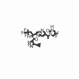 CC(c1cnn2cc(C(CC(C)(C)C(F)(F)F)NC(=O)c3nonc3C3CC3)nc2c1)N1CC(F)(F)CNC1=O